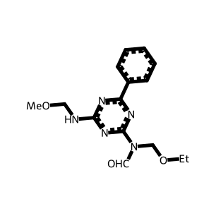 CCOCN(C=O)c1nc(NCOC)nc(-c2ccccc2)n1